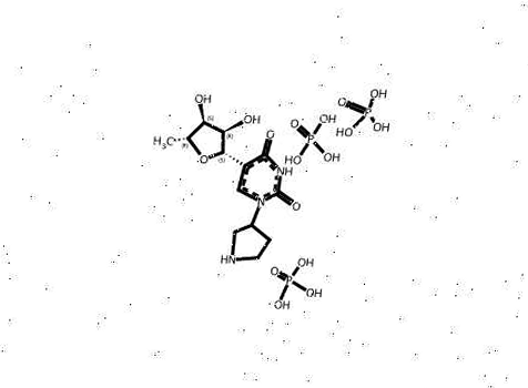 C[C@H]1O[C@@H](c2cn(C3CCNC3)c(=O)[nH]c2=O)[C@H](O)[C@@H]1O.O=P(O)(O)O.O=P(O)(O)O.O=P(O)(O)O